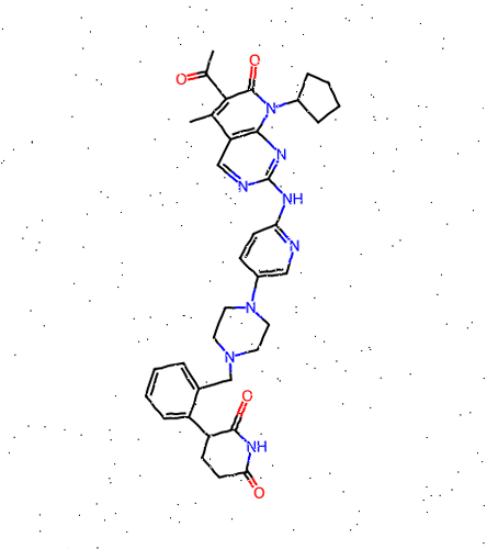 CC(=O)c1c(C)c2cnc(Nc3ccc(N4CCN(Cc5ccccc5C5CCC(=O)NC5=O)CC4)cn3)nc2n(C2CCCC2)c1=O